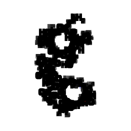 COc1cc2cc(c1Cl)N(C)C(=O)C[C@H](OC(=O)[C@H](C)N(C)C(=O)CCSC1CC(=O)N(CCCNC(=O)[C@H](CC(C)C)NC(=O)[C@H](Cc3ccccc3)NCCNC(=O)CC[C@H]3C(=O)N[C@@H](Cc4ccc(O)cc4)C(=O)N[C@H](Cc4c[nH]c5ccccc45)C(=O)N[C@@H](CCCCN)C(=O)N[C@@H]([C@@H](C)O)C(=O)N[C@@H](Cc4ccccc4)C(=O)N3C)C1=O)[C@]1(C)O[C@H]1[C@H](C)[C@@H]1C[C@@](O)(NC(=O)O1)[C@H](OC)/C=C/C=C(\C)C2